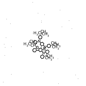 CC(C)(C)c1ccc(N2B3c4cccc5c4N(c4ccccc4C5(C)C)c4cc5c(oc6ccccc65)c(c43)-c3cc(N(c4ccc(C(C)(C)C)cc4)c4ccc(C(C)(C)C)cc4)ccc32)cc1